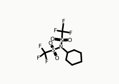 O=S(=O)(N(C1CCCCC1)S(=O)(=O)C(F)(F)F)C(F)(F)F